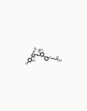 CCn1cc(-c2ccc(Cl)cc2Cl)nc1C=Cc1cc(-c2cccc(OCCCC(=O)O)c2)ccc1OC